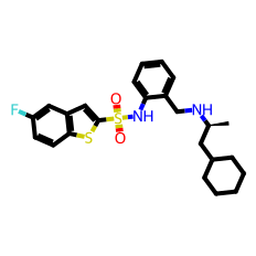 C[C@@H](CC1CCCCC1)NCc1ccccc1NS(=O)(=O)c1cc2cc(F)ccc2s1